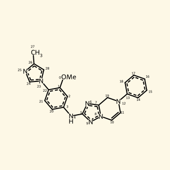 COc1cc(Nc2nc3n(n2)C=CN(c2ccccc2)C3)ccc1-n1cnc(C)c1